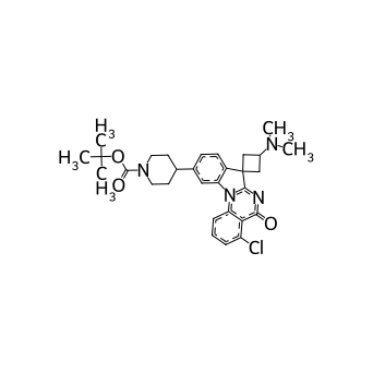 CN(C)C1CC2(C1)c1ccc(C3CCN(C(=O)OC(C)(C)C)CC3)cc1-n1c2nc(=O)c2c(Cl)cccc21